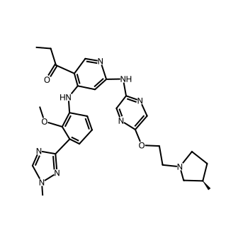 CCC(=O)c1cnc(Nc2cnc(OCCN3CC[C@@H](C)C3)cn2)cc1Nc1cccc(-c2ncn(C)n2)c1OC